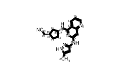 Cc1cc(Nc2cc3ncccc3c(N[C@@H]3CC[C@@H](CC#N)C3)n2)n[nH]1